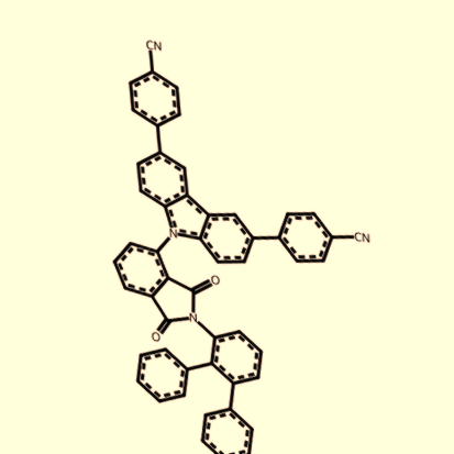 N#Cc1ccc(-c2ccc3c(c2)c2cc(-c4ccc(C#N)cc4)ccc2n3-c2cccc3c2C(=O)N(c2cccc(-c4ccccc4)c2-c2ccccc2)C3=O)cc1